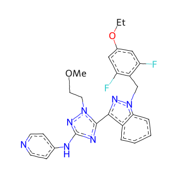 CCOc1cc(F)c(Cn2nc(-c3nc(Nc4ccncc4)nn3CCOC)c3ccccc32)c(F)c1